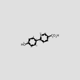 O=C(O)c1ccc(-c2ccc(O)cc2)nc1